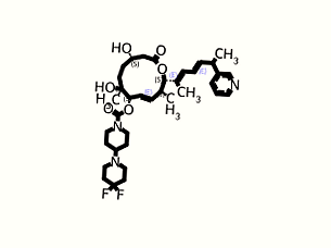 C/C(=C\C=C\C(C)c1cccnc1)[C@H]1OC(=O)C[C@@H](O)CC[C@](C)(O)[C@@H](OC(=O)N2CCC(N3CCC(F)(F)CC3)CC2)/C=C/[C@@H]1C